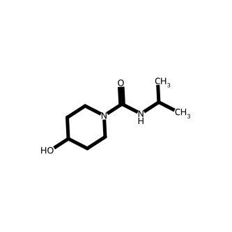 CC(C)NC(=O)N1CCC(O)CC1